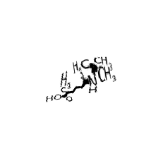 C/C(=C\CCCNC(C)(C)C)C(=O)O